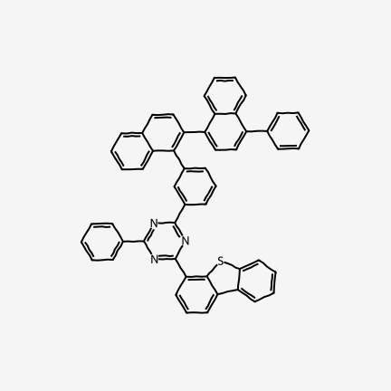 c1ccc(-c2nc(-c3cccc(-c4c(-c5ccc(-c6ccccc6)c6ccccc56)ccc5ccccc45)c3)nc(-c3cccc4c3sc3ccccc34)n2)cc1